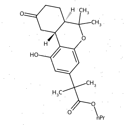 CCCOC(=O)C(C)(C)c1cc(O)c2c(c1)OC(C)(C)[C@@H]1CCC(=O)C[C@@H]21